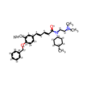 COc1cc(C=CC=CC(=O)N(CCN(C)C)[C@H]2CC[C@H](C)CC2)ccc1OCc1ccccc1